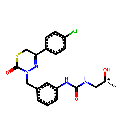 C[C@@H](O)CNC(=O)Nc1cccc(CN2N=C(c3ccc(Cl)cc3)CSC2=O)c1